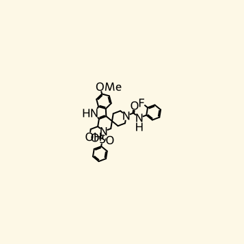 COc1ccc2c3c([nH]c2c1)C(CO)N(S(=O)(=O)c1ccccc1)CC31CCN(C(=O)Nc2ccccc2F)CC1